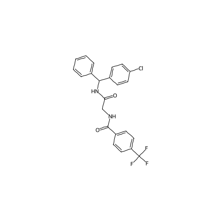 O=C(CNC(=O)c1ccc(C(F)(F)F)cc1)NC(c1ccccc1)c1ccc(Cl)cc1